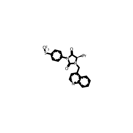 CC(C)[C@@H]1C(=O)N(c2ccc(SC(F)(F)F)cc2)C(=O)N1Cc1ccnc2ccccc12